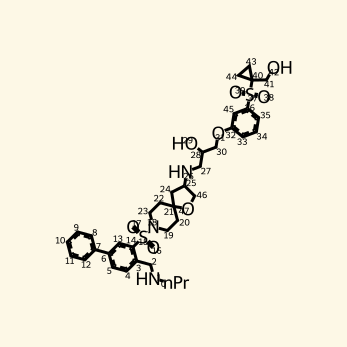 CCCNCc1ccc(-c2ccccc2)cc1S(=O)(=O)N1CCC2(CC1)CC(NCC(O)COc1cccc(S(=O)(=O)C3(CO)CC3)c1)CO2